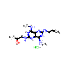 C=CCNc1nc(NC)c2nc(NCC(C)O)nc(NC)c2n1.Cl